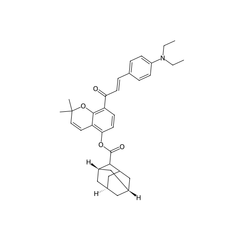 CCN(CC)c1ccc(/C=C/C(=O)c2ccc(OC(=O)C3C4C[C@H]5C[C@@H](C4)C[C@@H]3C5)c3c2OC(C)(C)C=C3)cc1